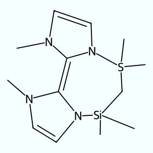 CN1C=CN2C1=C1N(C)C=CN1S(C)(C)C[Si]2(C)C